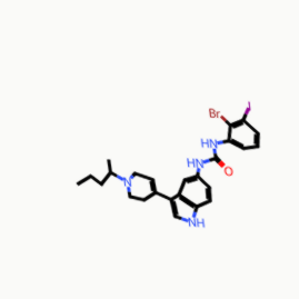 CCCC(C)N1CC=C(c2c[nH]c3ccc(NC(=O)Nc4cccc(I)c4Br)cc23)CC1